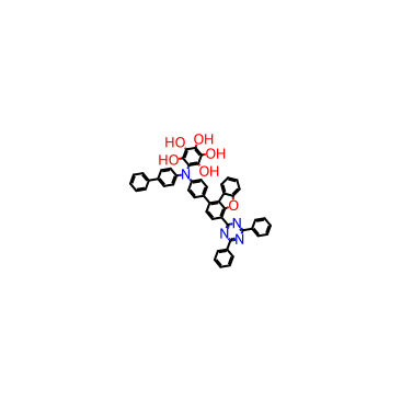 Oc1c(O)c(O)c(N(c2ccc(-c3ccccc3)cc2)c2ccc(-c3ccc(-c4nc(-c5ccccc5)nc(-c5ccccc5)n4)c4oc5ccccc5c34)cc2)c(O)c1O